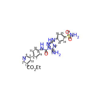 CCOC(=O)c1cncc(-c2ccc(NC(=O)n3nc(Nc4ccc(S(N)(=O)=O)cc4)nc3N)cc2)c1